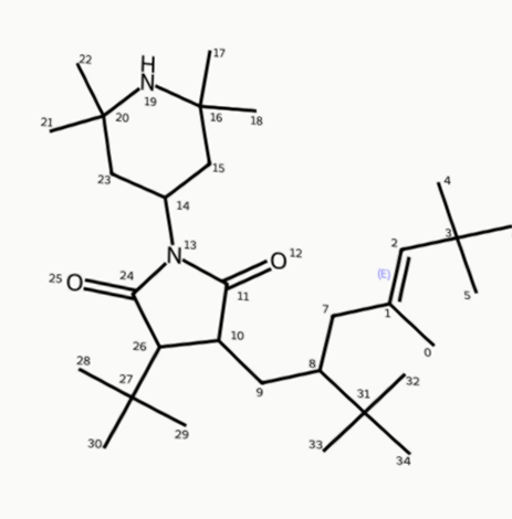 C/C(=C\C(C)(C)C)CC(CC1C(=O)N(C2CC(C)(C)NC(C)(C)C2)C(=O)C1C(C)(C)C)C(C)(C)C